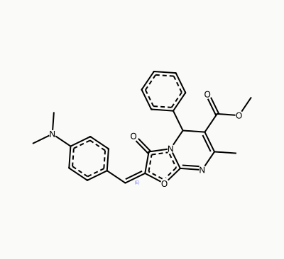 COC(=O)C1=C(C)N=c2o/c(=C/c3ccc(N(C)C)cc3)c(=O)n2C1c1ccccc1